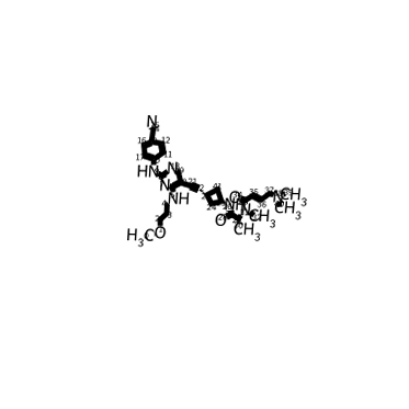 COCCCNc1nc(Nc2ccc(C#N)cc2)ncc1C#C[C@H]1C[C@@H](NC(=O)[C@H](C)N(C)C(=O)/C=C/CN(C)C)C1